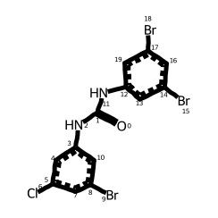 O=C(Nc1cc(Cl)cc(Br)c1)Nc1cc(Br)cc(Br)c1